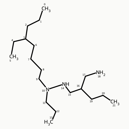 CCCC(CC)CCCCN(CCC)NCC(CN)CCC